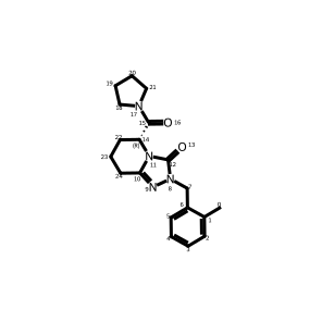 Cc1ccccc1Cn1nc2n(c1=O)[C@@H](C(=O)N1CCCC1)CCC2